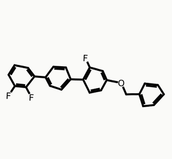 Fc1cc(OCc2ccccc2)ccc1-c1ccc(-c2cccc(F)c2F)cc1